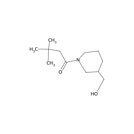 CC(C)(C)CC(=O)N1CCCC(CO)C1